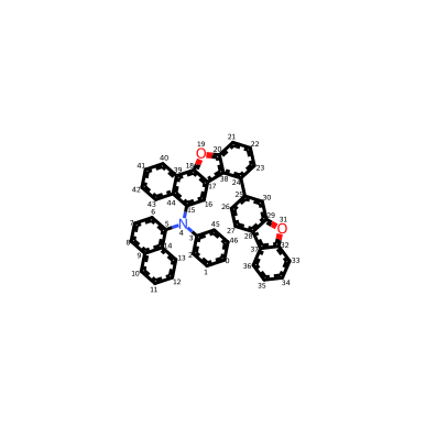 c1ccc(N(c2cccc3ccccc23)c2cc3c(oc4cccc(-c5ccc6c(c5)oc5ccccc56)c43)c3ccccc23)cc1